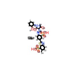 COc1ccccc1NC(=O)C(N=Nc1ccc(-c2nc3ccc(C)c(S(=O)(=O)O)c3s2)cc1S(=O)(=O)O)C(C)=O.[Na].[Na]